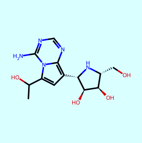 CC(O)c1cc([C@@H]2N[C@H](CO)[C@@H](O)[C@H]2O)c2ncnc(N)n12